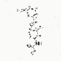 C=CC(=O)Nc1ccc(OCc2cccc(C(F)(F)F)c2)c(F)c1